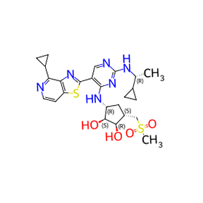 C[C@@H](Nc1ncc(-c2nc3c(C4CC4)nccc3s2)c(N[C@@H]2C[C@H](CS(C)(=O)=O)[C@@H](O)[C@H]2O)n1)C1CC1